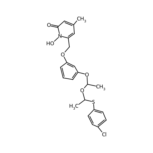 Cc1cc(COc2cccc(OC(C)OC(C)Sc3ccc(Cl)cc3)c2)n(O)c(=O)c1